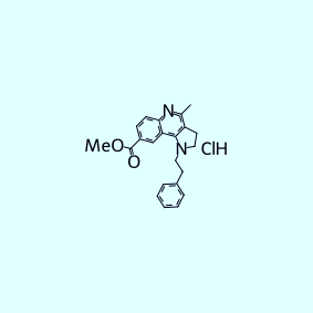 COC(=O)c1ccc2nc(C)c3c(c2c1)N(CCc1ccccc1)CC3.Cl